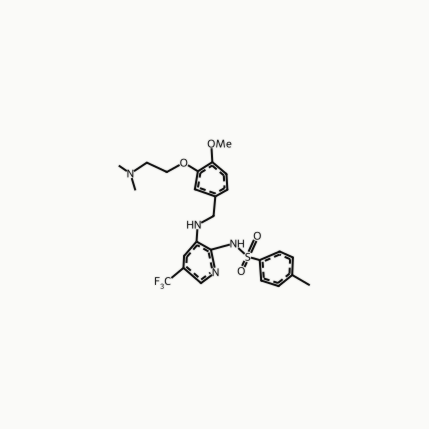 COc1ccc(CNc2cc(C(F)(F)F)cnc2NS(=O)(=O)c2ccc(C)cc2)cc1OCCN(C)C